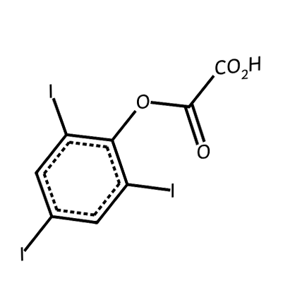 O=C(O)C(=O)Oc1c(I)cc(I)cc1I